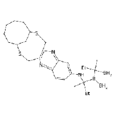 BB(C(B)(C)CC)C(C)(Bc1ccc2nc3c(nc2c1)CSC1CCCCCC(C1)SC3)CC